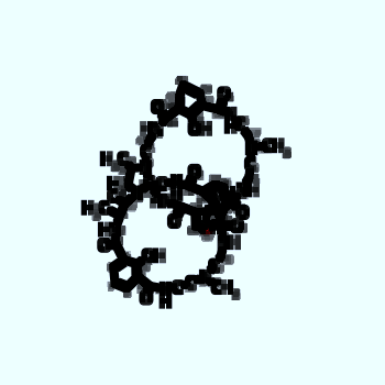 CC1NC(=O)c2cccc(c2O)C(=O)NCCN(C)CCNC(=O)c2cccc(c2O)C(=O)NCCN(CC(C)N2CCNC(=O)c3cccc(c3O)C(=O)NCCN(C)CCNC(=O)c3cccc(c3O)C(=O)NCC2)C1C